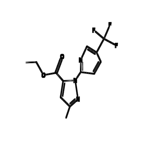 CCOC(=O)c1cc(C)nn1-c1ccc(C(F)(F)F)cn1